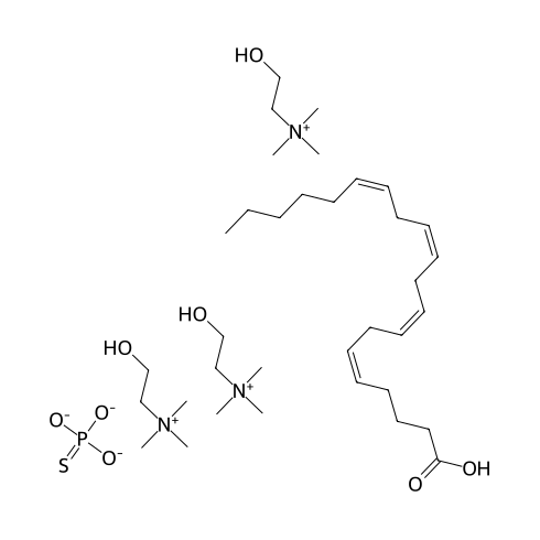 CCCCC/C=C\C/C=C\C/C=C\C/C=C\CCCC(=O)O.C[N+](C)(C)CCO.C[N+](C)(C)CCO.C[N+](C)(C)CCO.[O-]P([O-])([O-])=S